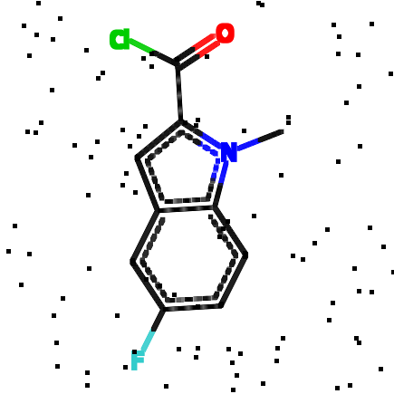 Cn1c(C(=O)Cl)cc2cc(F)ccc21